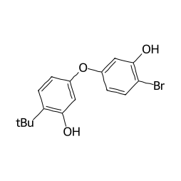 CC(C)(C)c1ccc(Oc2ccc(Br)c(O)c2)cc1O